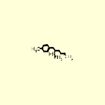 C=CCCC(CC1=CCC(C)C=C1)NC